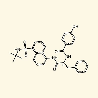 CC(C)(C)NS(=O)(=O)c1cccc2c(NC(=O)[C@H](Cc3ccccc3)NC(=O)c3ccc(O)cc3)cccc12